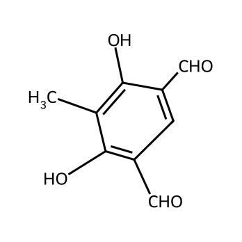 Cc1c(O)c(C=O)cc(C=O)c1O